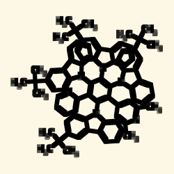 Cc1cc(-c2c(-n3c4ccccc4c4cc(C(C)(C)C)ccc43)c(-c3ccccn3)c(-n3c4ccccc4c4cc(C(C)(C)C)ccc43)c(-n3c4ccccc4c4cc(C(C)(C)C)ccc43)c2-n2c3ccccc3c3cc(C(C)(C)C)ccc32)cc(C)n1